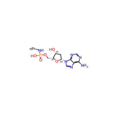 CCCNP(=O)(O)OC[C@H]1O[C@@H](n2cnc3c(N)ncnc32)C[C@H]1O